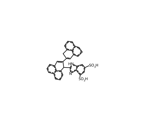 O=S(=O)(O)c1cc(S(=O)(=O)O)c2nc(C3C(C4=Cc5cccc6cccc(c56)C4)=Cc4cccc5cccc3c45)[nH]c2c1